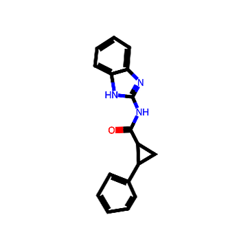 O=C(Nc1nc2ccccc2[nH]1)C1CC1c1ccccc1